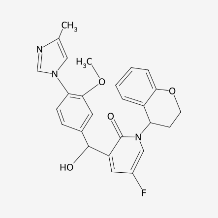 COc1cc(C(O)c2cc(F)cn(C3CCOc4ccccc43)c2=O)ccc1-n1cnc(C)c1